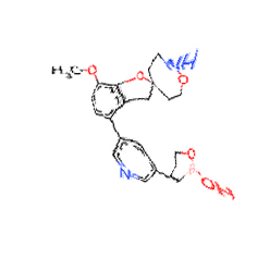 COc1ccc(-c2cncc(C3COB(O)C3)c2)c2c1OC1(CCNOCC1)C2